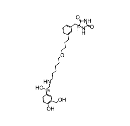 C[C@@]1(Cc2cccc(CCCCOCCCCCCNC[C@H](O)c3ccc(O)c(CO)c3)c2)NC(=O)NC1=O